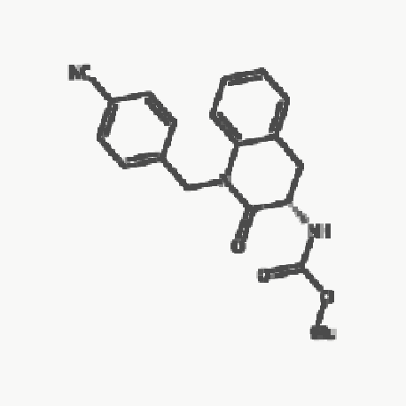 CC(C)(C)OC(=O)N[C@H]1Cc2ccccc2N(Cc2ccc(C#N)cc2)C1=O